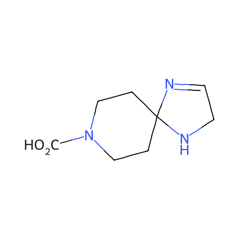 O=C(O)N1CCC2(CC1)N=CCN2